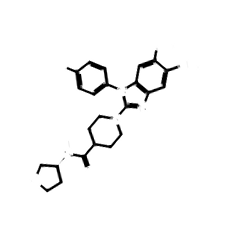 Cc1ccc(-n2c(N3CCC(C(=O)N[C@H]4CCOC4)CC3)nc3cc(C)c(C)cc32)cc1